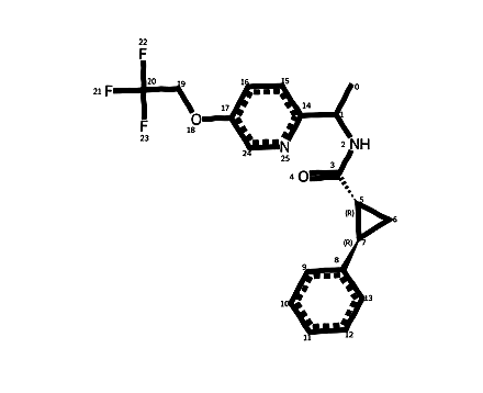 CC(NC(=O)[C@@H]1C[C@H]1c1ccccc1)c1ccc(OCC(F)(F)F)cn1